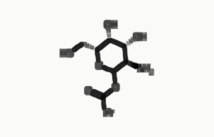 CC(C)C(=O)OC1O[C@H](CO)[C@H](O)[C@H](O)[C@H]1N